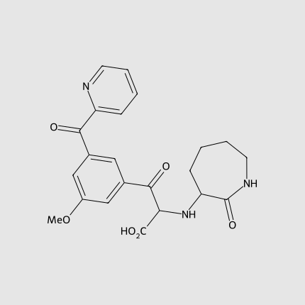 COc1cc(C(=O)c2ccccn2)cc(C(=O)C(NC2CCCCNC2=O)C(=O)O)c1